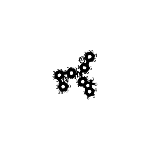 CC1(C)c2ccccc2-c2ccc(N(c3ccc4c(c3)oc3ccccc34)c3ccc4c5cccc6c7ccccc7n(c4c3)c65)cc21